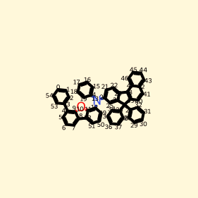 c1ccc(-c2cccc3c2oc2c(N(c4ccccc4)c4ccc5c(c4)C(c4ccccc4)(c4ccccc4)c4ccc6ccccc6c4-5)cccc23)cc1